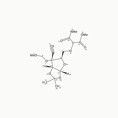 C#C[C@@]1(OCOC)[C@@H](COC(C(=O)NC)C(=O)OC)O[C@@H]2OC(C)(C)O[C@@H]21